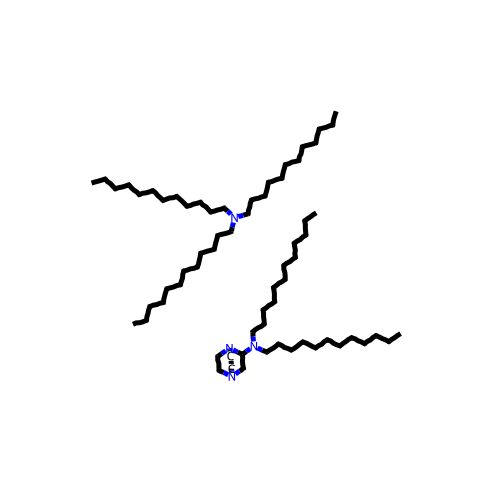 CCCCCCCCCCCCN(CCCCCCCCCCCC)C1CN2CCN1CC2.CCCCCCCCCCCCN(CCCCCCCCCCCC)CCCCCCCCCCCC